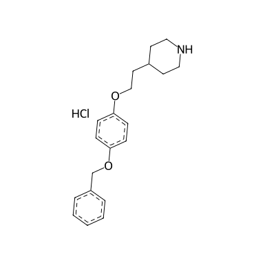 Cl.c1ccc(COc2ccc(OCCC3CCNCC3)cc2)cc1